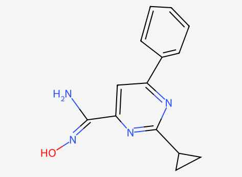 NC(=NO)c1cc(-c2ccccc2)nc(C2CC2)n1